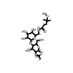 CCOC(C)(C)CCC(=O)NCC1OC(OC2C(CO)OC3OC(C)=NC3C2O)C(O)C(O)C1O